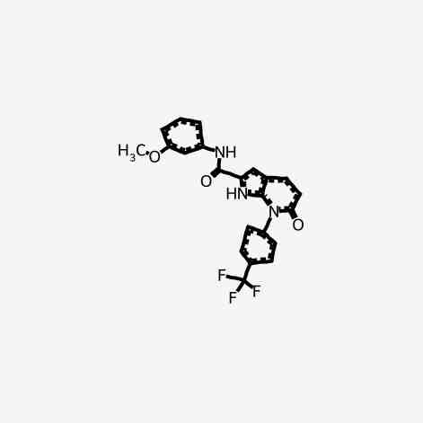 COc1cccc(NC(=O)c2cc3ccc(=O)n(-c4ccc(C(F)(F)F)cc4)c3[nH]2)c1